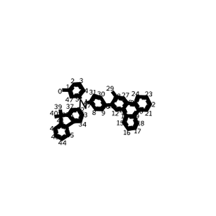 Cc1cccc(N(c2ccc(-c3cc4c5ccccc5c5ccccc5c4cc3C)cc2)c2ccc3c(c2)C(C)(C)c2ccccc2-3)c1